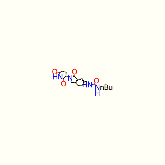 CCCCNC(=O)NCc1ccc2c(c1)C(=O)N(C1CCC(=O)NC1=O)C2